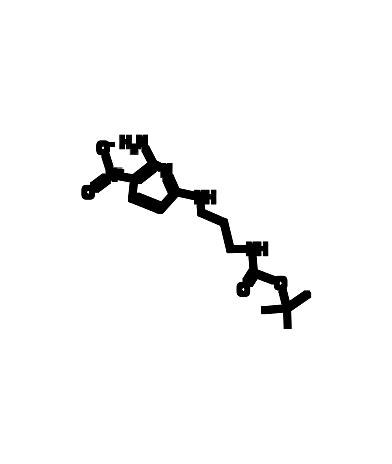 CC(C)(C)OC(=O)NCCCNc1ccc([N+](=O)[O-])c(N)n1